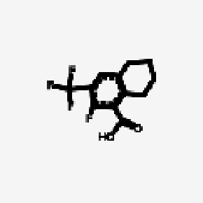 O=C(O)c1c(F)c(C(F)(F)F)cc2c1CCCC2